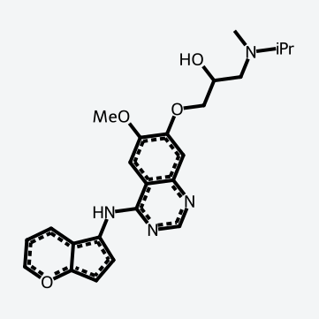 COc1cc2c(Nc3ccc4occcc3-4)ncnc2cc1OCC(O)CN(C)C(C)C